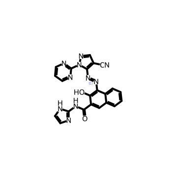 N#Cc1cnn(-c2ncccn2)c1/N=N/c1c(O)c(C(=O)Nc2ncc[nH]2)cc2ccccc12